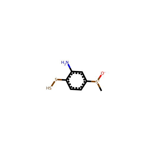 C[S+]([O-])c1ccc(SS)c(N)c1